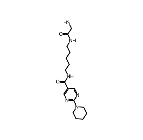 O=C(CS)NCCCCCNC(=O)c1cnc(N2CCCCC2)nc1